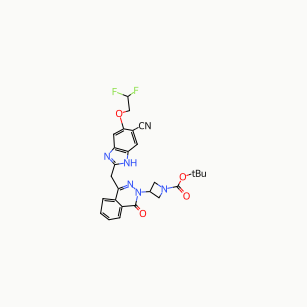 CC(C)(C)OC(=O)N1CC(n2nc(Cc3nc4cc(OCC(F)F)c(C#N)cc4[nH]3)c3ccccc3c2=O)C1